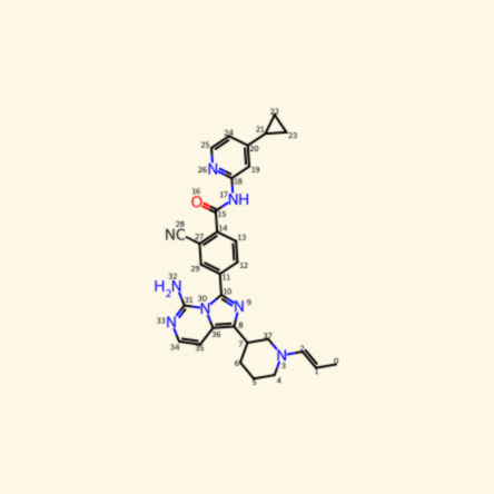 CC=CN1CCCC(c2nc(-c3ccc(C(=O)Nc4cc(C5CC5)ccn4)c(C#N)c3)n3c(N)nccc23)C1